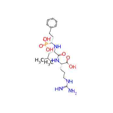 CC(C)C[C@H](N[C@@H](CCc1ccccc1)P(=O)(O)O)C(=O)N[C@@H](CCCNC(=N)N)C(=O)O